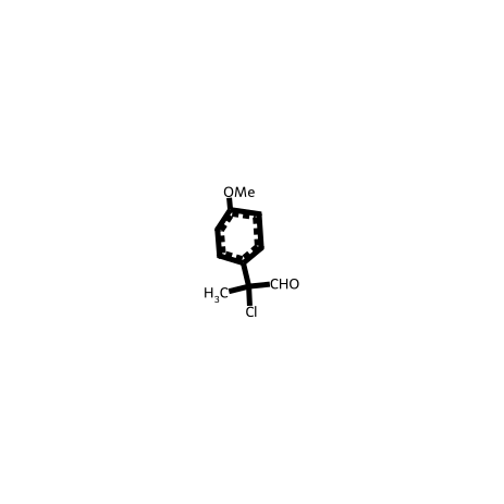 COc1ccc(C(C)(Cl)C=O)cc1